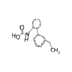 CCc1cccc(-c2ccccc2NC(=O)O)c1